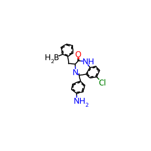 Bc1ccccc1CC1N=C(c2ccc(N)cc2)c2cc(Cl)ccc2NC1=O